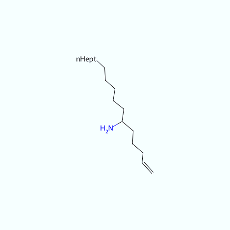 C=CCCCC(N)CCCCCCCCCCCC